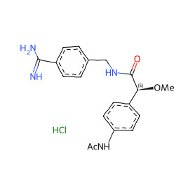 CO[C@H](C(=O)NCc1ccc(C(=N)N)cc1)c1ccc(NC(C)=O)cc1.Cl